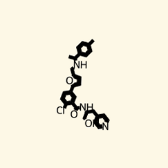 Cc1ccc(C(C)NCc2ccc(-c3ccc(Cl)c(C(=O)NC(CO)Cc4ccncc4)c3)o2)cc1